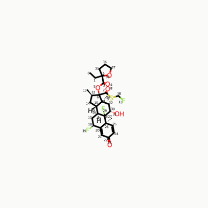 CCC1(C(=O)O[C@]2(C(=O)SCF)[C@H](C)C[C@H]3[C@@H]4C[C@H](F)C5=CC(=O)C=C[C@]5(C)[C@@]4(F)[C@@H](O)C[C@@]32C)CCCO1